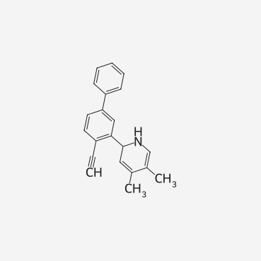 C#Cc1ccc(-c2ccccc2)cc1C1C=C(C)C(C)=CN1